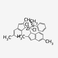 CC1=Cc2cc(C)ccc2[CH]1[Zr]([Cl])([Cl])([CH]1C(C)=Cc2cc(C)ccc21)=[Si](C)c1ccccc1